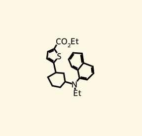 CCOC(=O)c1ccc(C2CCCC(N(CC)c3cccc4ccccc34)C2)s1